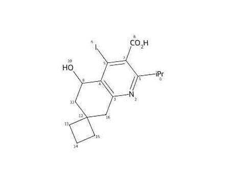 CC(C)c1nc2c(c(I)c1C(=O)O)C(O)CC1(CCC1)C2